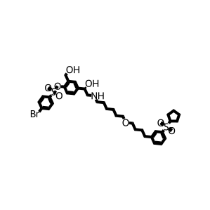 O=S(=O)(Oc1ccc([C@@H](O)CNCCCCCCOCCCCc2cccc(S(=O)(=O)C3CCCC3)c2)cc1CO)c1ccc(Br)cc1